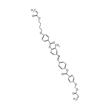 C=CC(=O)OCCCCOc1ccc(C(=O)Oc2ccc(/N=C/c3ccc(OC(=O)c4ccc(OCOC(=O)C=C)cc4)cc3)cc2C)cc1